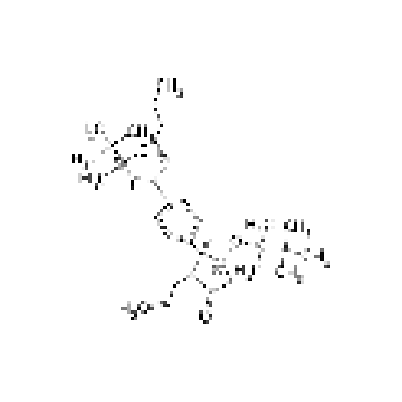 C=CCC1C(=O)C[C@@H](O[Si](C)(C)C(C)(C)C)[C@@H]1c1ccc(C(CCCCC)O[Si](C)(C)C(C)(C)C)cc1